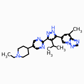 CCN1CCC(c2cnc(-c3n[nH]c(-c4cc(C)c5ncnn5c4)c3C(C)C)nc2)CC1